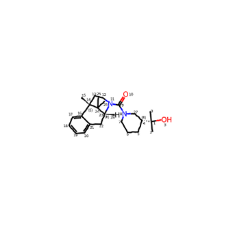 CC(C)(O)[C@@H]1CCCN(C(=O)N2CC[C@@]3(C)c4ccccc4C[C@@H]2C3(C)C)C1